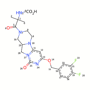 CC(C)(NC(=O)O)C(=O)N1CCN2c3cc(OCc4ccc(F)c(F)c4)nc(=O)n3CC2C1